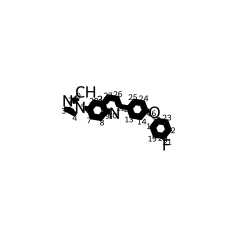 Cc1nccn1-c1ccc2nc(-c3ccc(Oc4ccc(F)cc4)cc3)ccc2c1